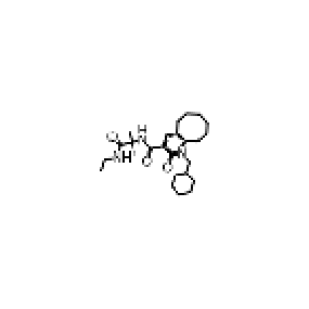 CCNC(=O)C(C)(C)NC(=O)c1cc2c(n(CC3CCCCC3)c1=O)CCCCCC2